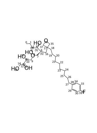 CC[C@@H](O)[C@@H](O)[C@H](COC[C@H](O)[C@@H](O)CO)CC1(CCCCCCCCCCc2ccc(F)cc2)COC1